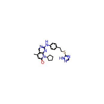 Cc1cc(=O)n(C2CCCC2)c2nc(Nc3ccc(CCSc4ncn[nH]4)cc3)ncc12